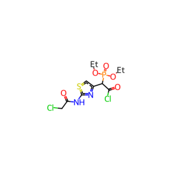 CCOP(=O)(OCC)C(C(=O)Cl)c1csc(NC(=O)CCl)n1